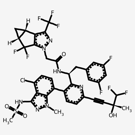 Cn1nc(NS(C)(=O)=O)c2c(Cl)ccc(-c3ccc(C#C[C@@](C)(O)C(F)F)nc3[C@H](Cc3cc(F)cc(F)c3)NC(=O)Cn3nc(C(F)(F)F)c4c3C(F)(F)[C@@H]3C[C@H]43)c21